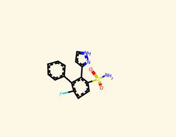 NS(=O)(=O)c1ccc(F)c(-c2ccccc2)c1-c1cc[nH]n1